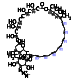 C[C@@H]1[C@H](O)[C@@H](C)/C=C/C=C/C=C/C=C/C=C/C=C/C=C/[C@H](O[C@@H]2O[C@H](C)[C@@H](O)[C@H](N=[N+]=[N-])C2O)CC2O[C@](O)(C[C@@H](O)C[C@@H](O)[C@H](O)CC[C@@H](O)C[C@@H](O)CC(=O)O[C@H]1C)C[C@H](O)[C@H]2C(=O)O